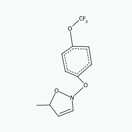 CC1C=CN(Oc2ccc(OC(F)(F)F)cc2)O1